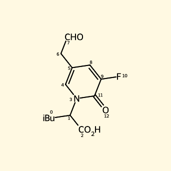 CCC(C)C(C(=O)O)n1cc(CC=O)cc(F)c1=O